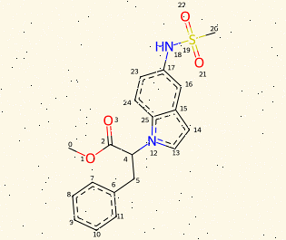 COC(=O)C(Cc1ccccc1)n1ccc2cc(NS(C)(=O)=O)ccc21